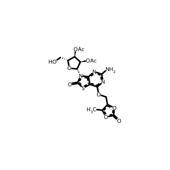 CC(=O)O[C@@H]1[C@H](OC(C)=O)[C@@H](CO)O[C@H]1n1c(=O)sc2c(OCc3oc(=O)oc3C)nc(N)nc21